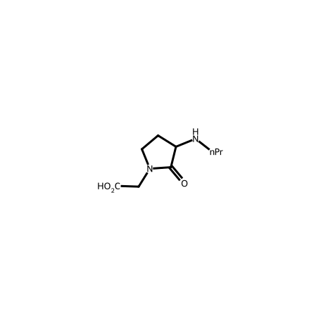 CCCNC1CCN(CC(=O)O)C1=O